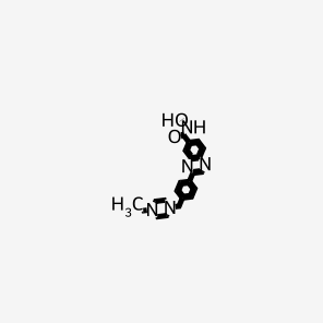 CCN1CCN(Cc2ccc(-c3cnc4ccc(C(=O)NO)cc4n3)cc2)CC1